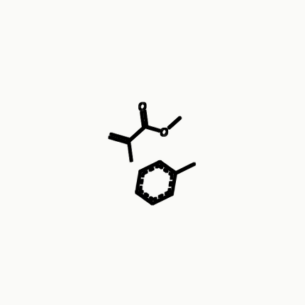 C=C(C)C(=O)OC.Cc1ccccc1